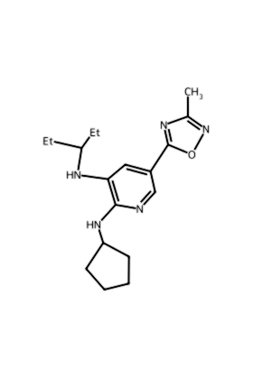 CCC(CC)Nc1cc(-c2nc(C)no2)cnc1NC1CCCC1